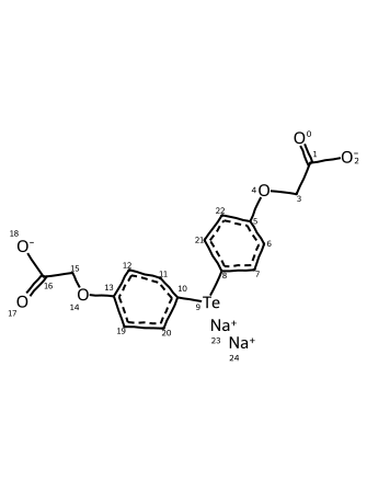 O=C([O-])COc1ccc([Te]c2ccc(OCC(=O)[O-])cc2)cc1.[Na+].[Na+]